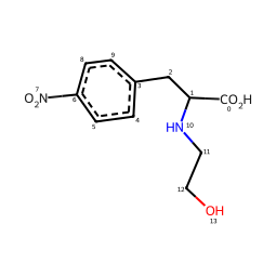 O=C(O)C(Cc1ccc([N+](=O)[O-])cc1)NCCO